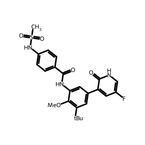 COc1c(NC(=O)c2ccc(NS(C)(=O)=O)cc2)cc(-c2cc(F)c[nH]c2=O)cc1C(C)(C)C